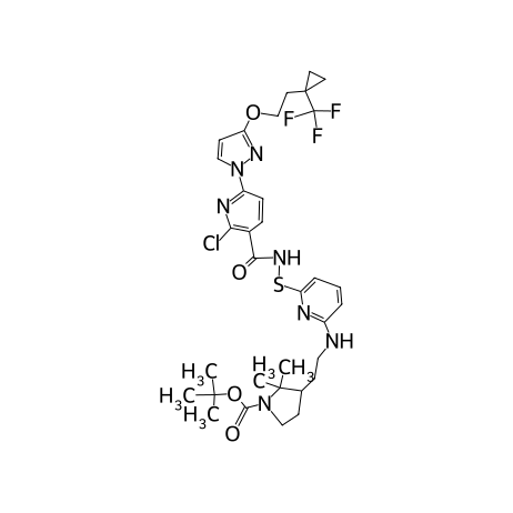 CC(C)(C)OC(=O)N1CCC(CCNc2cccc(SNC(=O)c3ccc(-n4ccc(OCCC5(C(F)(F)F)CC5)n4)nc3Cl)n2)C1(C)C